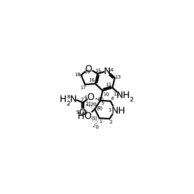 C[C@H]1CNC[C@](OC(N)=O)(c2c(N)cnc3c2CCO3)[C@]1(C)O